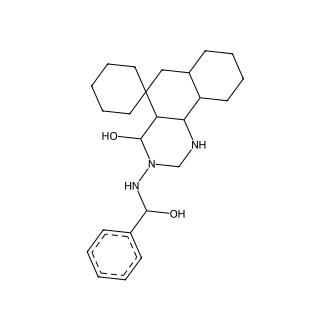 OC(NN1CNC2C3CCCCC3CC3(CCCCC3)C2C1O)c1ccccc1